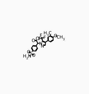 COc1ccc(-c2cnn(C(C(=O)O)c3ccc(S(N)(=O)=O)cc3)c2C(F)(F)F)cc1C